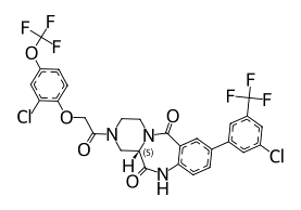 O=C1Nc2ccc(-c3cc(Cl)cc(C(F)(F)F)c3)cc2C(=O)N2CCN(C(=O)COc3ccc(OC(F)(F)F)cc3Cl)C[C@@H]12